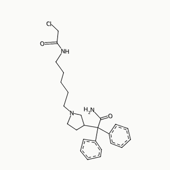 NC(=O)C(c1ccccc1)(c1ccccc1)C1CCN(CCCCCNC(=O)CCl)C1